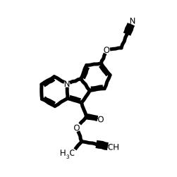 C#CC(C)OC(=O)c1c2ccc(OCC#N)cc2n2ccccc12